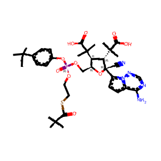 CC(C)(C)C(=O)SCCO[P@@](=O)(OC[C@@H]1O[C@@](C#N)(c2ccc3c(N)ncnn23)[C@@H](C(C)(C)C(=O)O)[C@@H]1C(C)(C)C(=O)O)Oc1ccc(C(C)(C)C)cc1